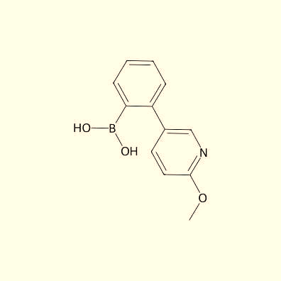 COc1ccc(-c2ccccc2B(O)O)cn1